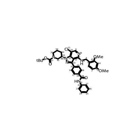 COc1ccc(CNc2ncc(Cl)c3c2c(-c2ccc(C(=O)Nc4ccccc4)cc2)nn3[C@@H]2CCCN(C(=O)OC(C)(C)C)C2)c(OC)c1